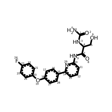 NC(=O)NC(CO)C(=O)Nc1cccc(-c2ccc(Oc3ccc(F)cc3)cc2)n1